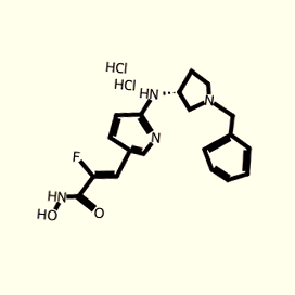 Cl.Cl.O=C(NO)C(F)=Cc1ccc(N[C@@H]2CCN(Cc3ccccc3)C2)nc1